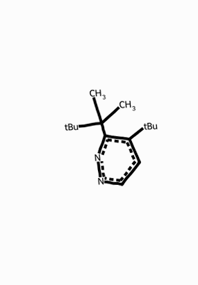 CC(C)(C)c1ccnnc1C(C)(C)C(C)(C)C